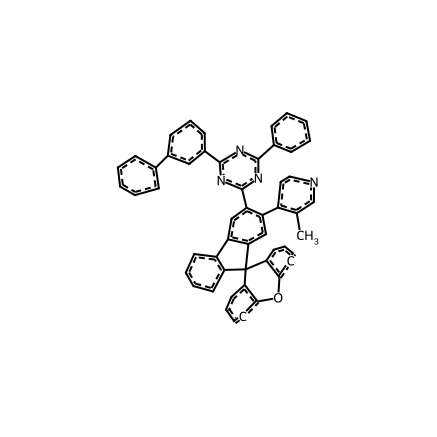 Cc1cnccc1-c1cc2c(cc1-c1nc(-c3ccccc3)nc(-c3cccc(-c4ccccc4)c3)n1)-c1ccccc1C21c2ccccc2Oc2ccccc21